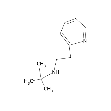 CC(C)(C)NCCc1ccccn1